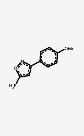 COc1ccc(-c2cc(P)on2)cc1